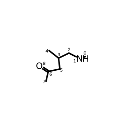 CNCC(C)CC(C)=O